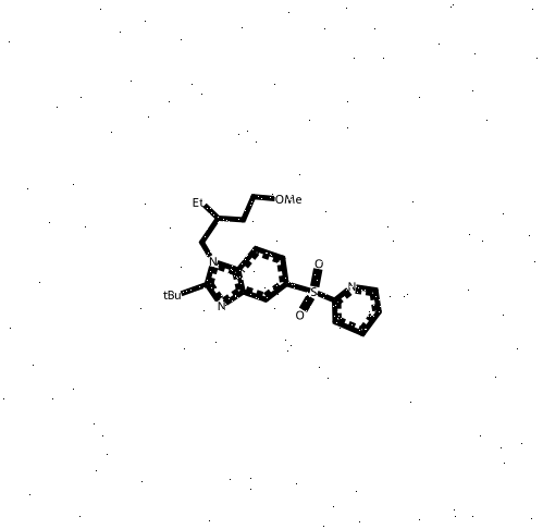 CCC(CCOC)Cn1c(C(C)(C)C)nc2cc(S(=O)(=O)c3ccccn3)ccc21